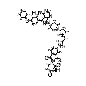 Nc1ncnc2c1c(-c1ccc(Oc3ccccc3)cc1)nn2C1CCN(C2CCN(CC3CN(c4ccc5c(c4)C(=O)N(C4CCC(=O)NC4=O)C5=O)C3)C2)CC1